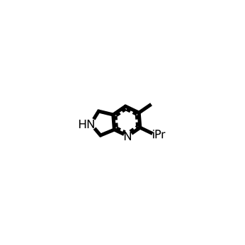 Cc1cc2c(nc1C(C)C)CNC2